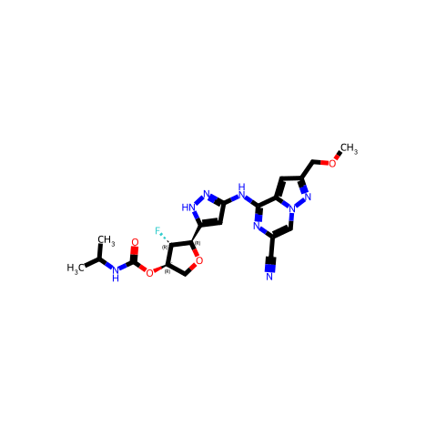 COCc1cc2c(Nc3cc([C@H]4OC[C@@H](OC(=O)NC(C)C)[C@@H]4F)[nH]n3)nc(C#N)cn2n1